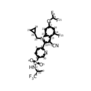 C[C@H](NS(=O)(=O)c1ccc(-c2c(C#N)c3c(F)cc(OC(F)F)cc3n2CC2CC2)nc1)C(F)(F)F